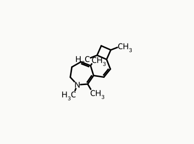 CC1=CCCN(C)C(C)=C1/C=C\C1C(C)CC1C